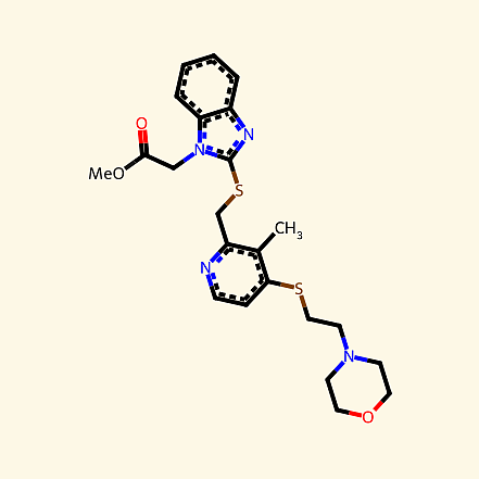 COC(=O)Cn1c(SCc2nccc(SCCN3CCOCC3)c2C)nc2ccccc21